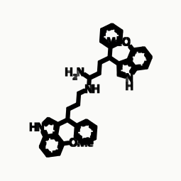 COc1cccc2[nH]cc(C(CCCNC(N)CCC(c3ccccc3)c3c[nH]c4cccc(OC)c34)c3ccccc3)c12